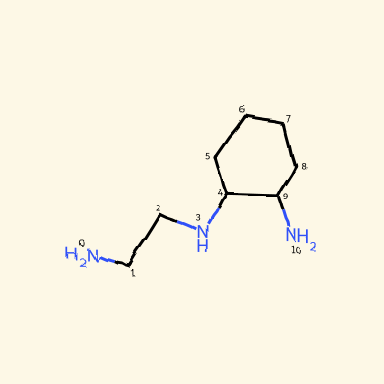 NCCNC1CCCCC1N